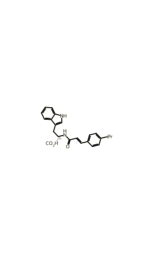 CC(C)c1ccc(/C=C/C(=O)N[C@@H](Cc2c[nH]c3ccccc23)C(=O)O)cc1